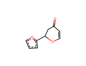 O=C1C=COC(c2ccco2)C1